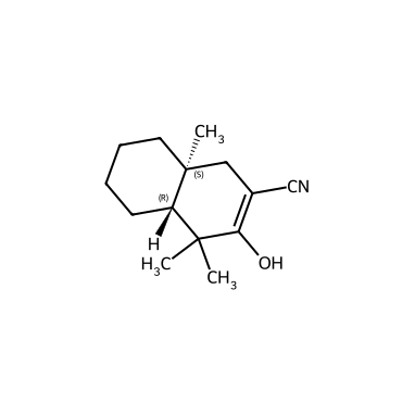 CC1(C)C(O)=C(C#N)C[C@]2(C)CCCC[C@@H]12